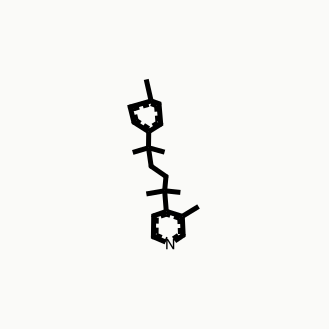 Cc1ccc(C(C)(C)CCC(C)(C)c2ccncc2C)cc1